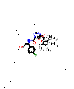 CC(C)[Si](Oc1c(C(=O)NC(CC=O)c2ccc(F)cc2)nc[nH]c1=O)(C(C)C)C(C)C